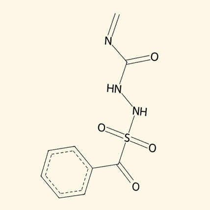 C=NC(=O)NNS(=O)(=O)C(=O)c1ccccc1